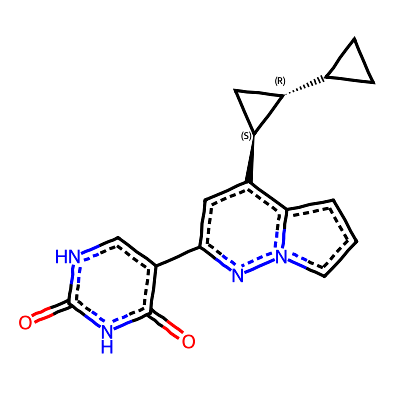 O=c1[nH]cc(-c2cc([C@H]3C[C@@H]3C3CC3)c3cccn3n2)c(=O)[nH]1